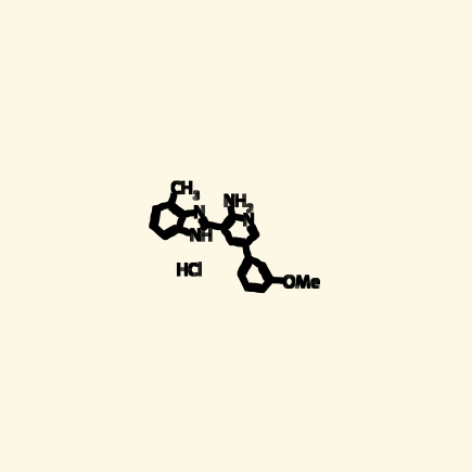 COc1cccc(-c2cnc(N)c(-c3nc4c(C)cccc4[nH]3)c2)c1.Cl